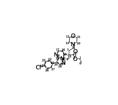 CCOC(=O)C(C)(CCN1CCOCC1)c1ccnc2c(-c3ccc(Cl)cc3)cnn12